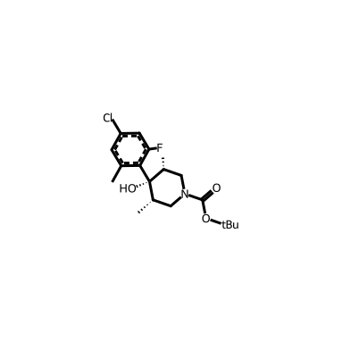 Cc1cc(Cl)cc(F)c1[C@@]1(O)[C@H](C)CN(C(=O)OC(C)(C)C)C[C@@H]1C